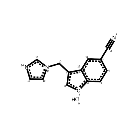 Cl.N#Cc1ccc2occ(Cn3ccnc3)c2c1